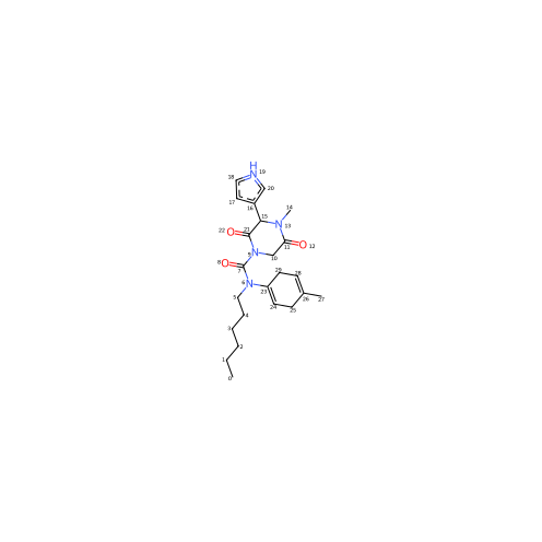 CCCCCCN(C(=O)N1CC(=O)N(C)C(c2cc[nH]c2)C1=O)C1=CCC(C)=CC1